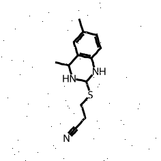 Cc1ccc2c(c1)C(C)NC(SCCC#N)N2